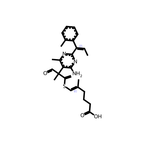 C=C(S/C=C(\C)CCCC(=O)O)C(C)(C=O)c1c(C)nc(/C(=C\C)c2ccccc2C)nc1N